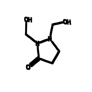 O=C1CCN(CO)N1CO